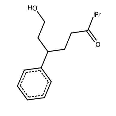 CC(C)C(=O)CCC(CCO)c1ccccc1